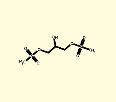 CS(=O)(=O)OCC(O)COS(C)(=O)=O